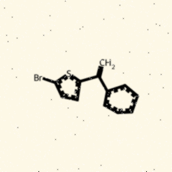 C=C(c1ccccc1)c1ccc(Br)s1